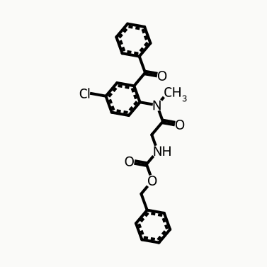 CN(C(=O)CNC(=O)OCc1ccccc1)c1ccc(Cl)cc1C(=O)c1ccccc1